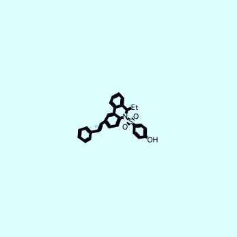 CCC1c2ccccc2-c2cc(/C=C/c3ccccc3)ccc2N1S(=O)(=O)c1ccc(O)cc1